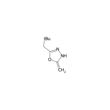 C=C1NN=C(CC(C)(C)C)O1